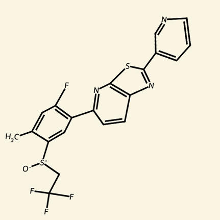 Cc1cc(F)c(-c2ccc3nc(-c4cccnc4)sc3n2)cc1[S+]([O-])CC(F)(F)F